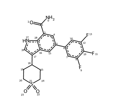 NC(=O)c1cc(-c2cc(F)c(F)c(F)c2)cc2c(C3CCS(=O)(=O)CC3)c[nH]c12